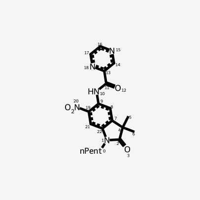 CCCCCN1C(=O)C(C)(C)c2cc(NC(=O)c3cnccn3)c([N+](=O)[O-])cc21